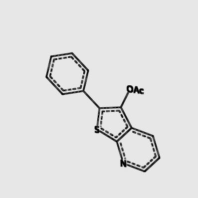 CC(=O)Oc1c(-c2ccccc2)sc2ncccc12